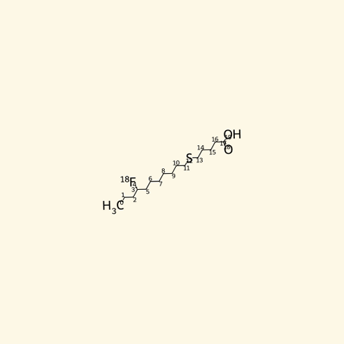 CCC[C@@H]([18F])CCCCCCCSCCCCC(=O)O